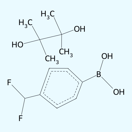 CC(C)(O)C(C)(C)O.OB(O)c1ccc(C(F)F)cc1